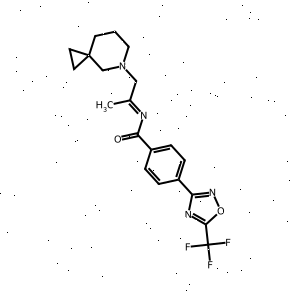 C/C(CN1CCCC2(CC2)C1)=N\C(=O)c1ccc(-c2noc(C(F)(F)F)n2)cc1